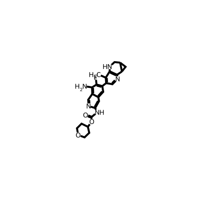 Cc1c(-c2cc3cc(NC(=O)OC4CCOCC4)ncc3c(N)c2F)cnc2c1NCC1CC21